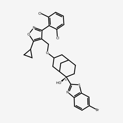 O[C@]1(c2nc3ccc(Br)cc3s2)CCC2CC(OCc3c(-c4c(Cl)cccc4Cl)noc3C3CC3)CC1C2